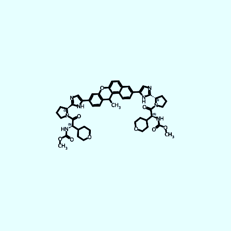 COC(=O)N[C@H](C(=O)N1CCC[C@H]1c1ncc(-c2ccc3c(c2)Oc2ccc4cc(-c5cnc([C@@H]6CCCN6C(=O)[C@@H](NC(=O)OC)C6CCOCC6)[nH]5)ccc4c2C3C)[nH]1)C1CCOCC1